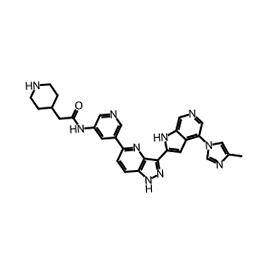 Cc1cn(-c2cncc3[nH]c(-c4n[nH]c5ccc(-c6cncc(NC(=O)CC7CCNCC7)c6)nc45)cc23)cn1